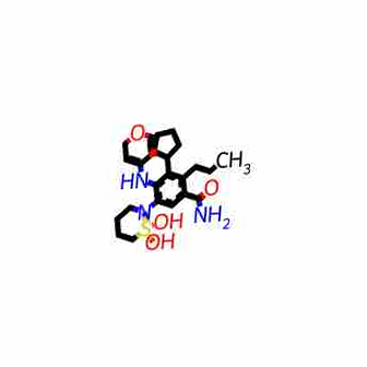 CCCc1c(C(N)=O)cc(N2CCCCS2(O)O)c(NC2=CCOC=C2)c1C1CCCC1